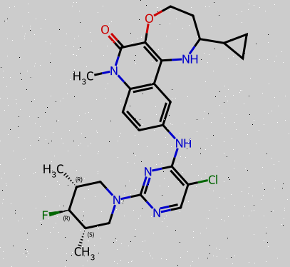 C[C@@H]1CN(c2ncc(Cl)c(Nc3ccc4c(c3)c3c(c(=O)n4C)OCCC(C4CC4)N3)n2)C[C@H](C)[C@H]1F